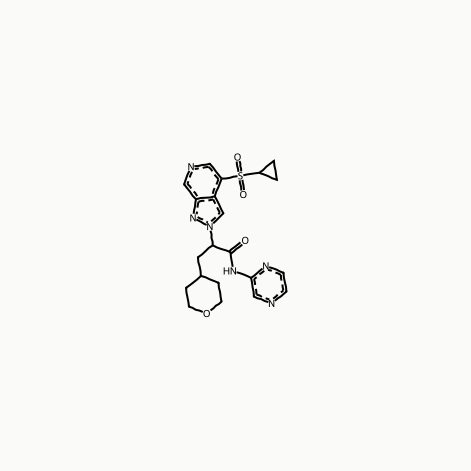 O=C(Nc1cnccn1)C(CC1CCOCC1)n1cc2c(S(=O)(=O)C3CC3)cncc2n1